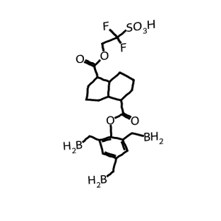 BCc1cc(CB)c(OC(=O)C2CCCC3C(C(=O)OCC(F)(F)S(=O)(=O)O)CCCC23)c(CB)c1